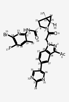 CC(=O)c1nn(CC(=O)N2[C@H](C(=O)Nc3nc(Br)c(F)cc3C)C[C@@]3(C)C[C@@H]23)c2ccc(-c3cnc(C)nc3)cc12